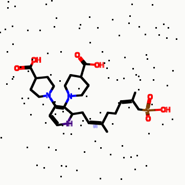 CC(=CCC/C(C)=C\CC1[IH]C=CC(N2CCC(C(=O)O)CC2)=C1N1CCC(C(=O)O)CC1)CS(=O)(=O)O